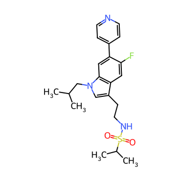 CC(C)Cn1cc(CCNS(=O)(=O)C(C)C)c2cc(F)c(-c3ccncc3)cc21